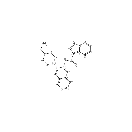 NCC1CCN(c2cc3cccnc3cc2NC(=O)c2cnn3cccnc23)CC1